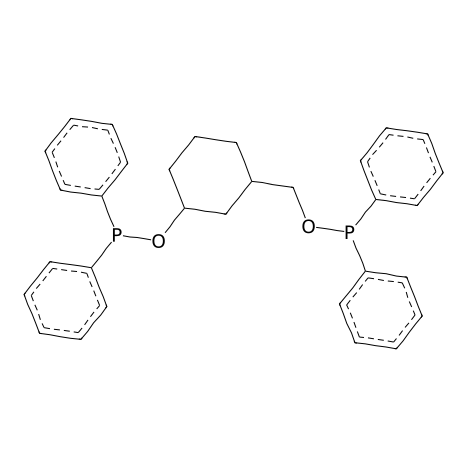 c1ccc(P(OCC2CCCC(OP(c3ccccc3)c3ccccc3)C2)c2ccccc2)cc1